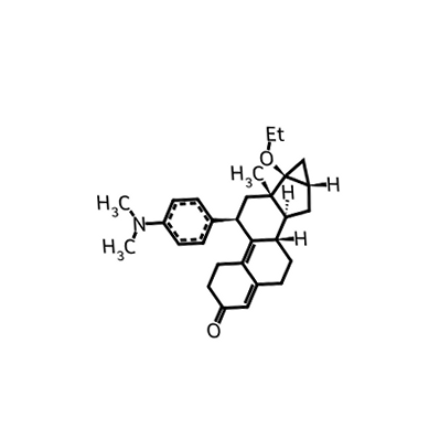 CCO[C@@]12C[C@@H]1C[C@H]1[C@@H]3CCC4=CC(=O)CCC4=C3[C@@H](c3ccc(N(C)C)cc3)C[C@@]12C